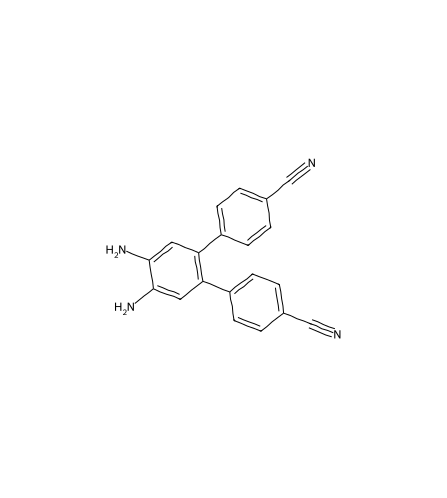 N#Cc1ccc(-c2cc(N)c(N)cc2-c2ccc(C#N)cc2)cc1